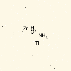 N.O.[Ti].[Zr]